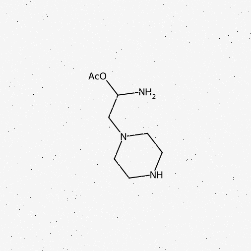 CC(=O)OC(N)CN1CCNCC1